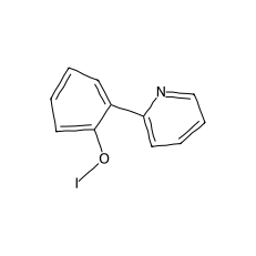 IOc1ccccc1-c1ccccn1